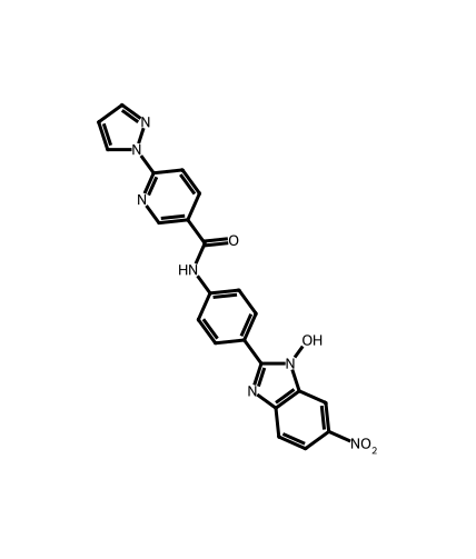 O=C(Nc1ccc(-c2nc3ccc([N+](=O)[O-])cc3n2O)cc1)c1ccc(-n2cccn2)nc1